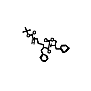 CC(C)(C)OC(=O)NCCC[C@H](Cc1ccccc1)C(=O)N1C(=O)OC[C@H]1Cc1ccccc1